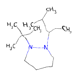 CC(C)C(C)N1CCCCN1C(C)(C)C